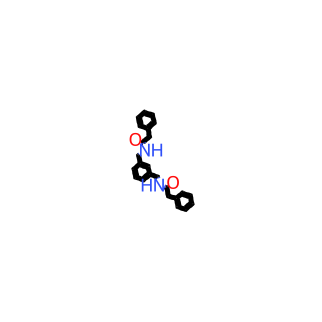 O=C(Cc1ccccc1)NCc1cccc(CNC(=O)Cc2ccccc2)c1